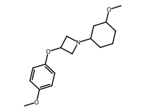 COc1ccc(OC2CN(C3CCCC(OC)C3)C2)cc1